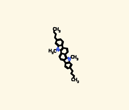 CCCCc1ccc2c3ccc4c(ccc5c6ccc(CCCC)cc6n(C)c54)c3n(C)c2c1